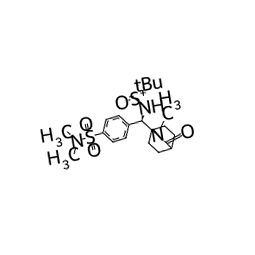 CN1C(=O)C2CCC1([C@H](N[S@+]([O-])C(C)(C)C)c1ccc(S(=O)(=O)N(C)C)cc1)CC2